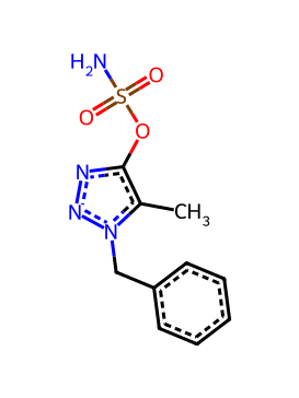 Cc1c(OS(N)(=O)=O)nnn1Cc1ccccc1